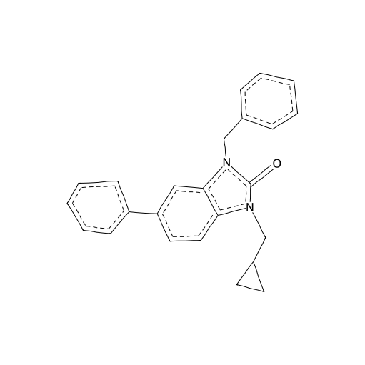 O=c1n(Cc2ccccc2)c2cc(-c3ccccc3)ccc2n1CC1CC1